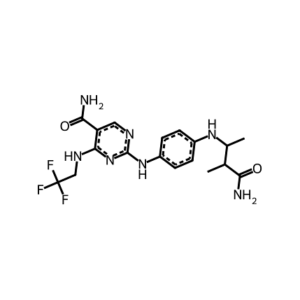 CC(Nc1ccc(Nc2ncc(C(N)=O)c(NCC(F)(F)F)n2)cc1)C(C)C(N)=O